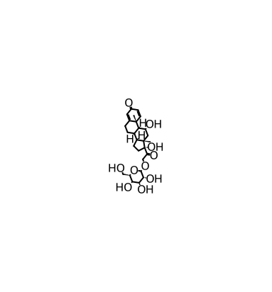 C[C@]12C=CC(=O)C=C1CC[C@@H]1[C@@H]2C(O)C[C@@]2(C)[C@H]1CC[C@]2(O)C(=O)CO[C@@H]1O[C@H](CO)[C@@H](O)[C@H](O)[C@H]1O